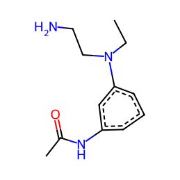 CCN(CCN)c1cccc(NC(C)=O)c1